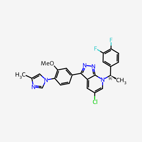 COc1cc(-c2nnc3n([C@H](C)c4ccc(F)c(F)c4)cc(Cl)cc2-3)ccc1-n1cnc(C)c1